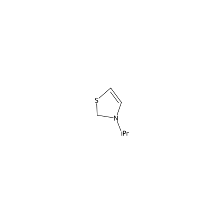 CC(C)N1C=CSC1